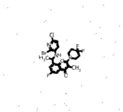 Cc1c(N2CCC(F)(F)CC2)oc2c(C(C)Nc3ccc(Cl)nc3Br)cc(F)cc2c1=O